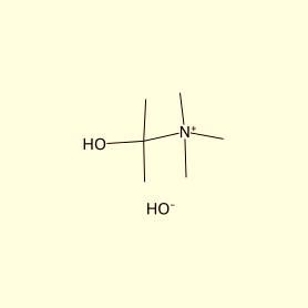 CC(C)(O)[N+](C)(C)C.[OH-]